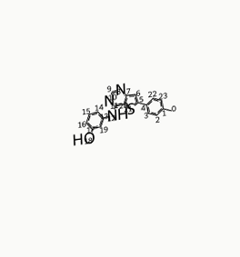 Cc1ccc(-c2cc3ncnc(Nc4cccc(O)c4)c3s2)cc1